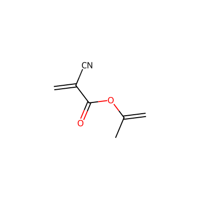 C=C(C)OC(=O)C(=C)C#N